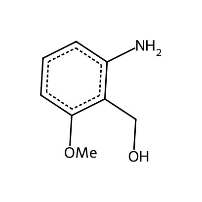 COc1cccc(N)c1CO